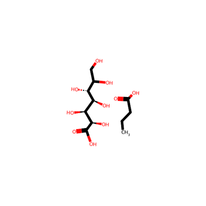 CCCC(=O)O.O=C(O)[C@H](O)[C@@H](O)[C@H](O)[C@H](O)C(O)CO